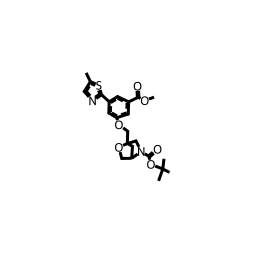 COC(=O)c1cc(OCC23CC(CO2)N(C(=O)OC(C)(C)C)C3)cc(-c2ncc(C)s2)c1